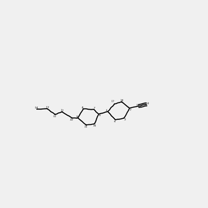 C#CC1CCC(C2CCC(CCCCC)CC2)CC1